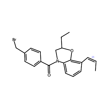 C/C=C\c1cccc2c1OC(CC)CN2C(=O)c1ccc(CBr)cc1